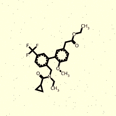 CCOC(=O)Cc1ccc(OC)c(-c2cc(C(F)(F)F)ccc2CN(CC)C(=O)C2CC2)c1